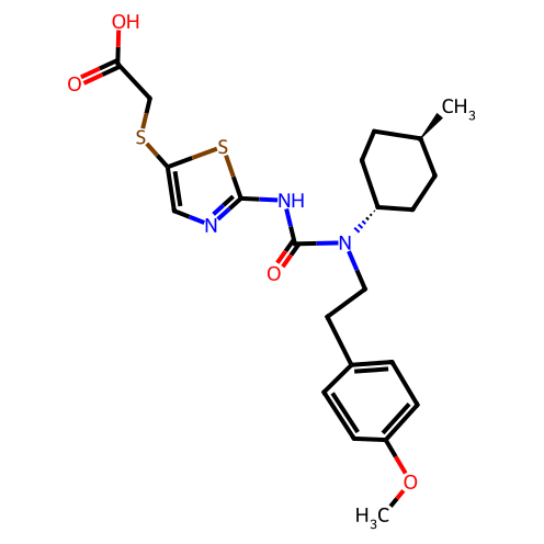 COc1ccc(CCN(C(=O)Nc2ncc(SCC(=O)O)s2)[C@H]2CC[C@H](C)CC2)cc1